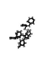 CCCCN(Cc1ccccc1)C[C@@H]1CCc2nc(-c3ccc(F)cc3)c(-c3ccnc(NCC)n3)n21